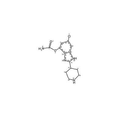 NC(=O)Oc1cc(Cl)cc2[nH]c(C3CCNCC3)nc12